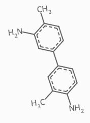 Cc1cc(-c2ccc(C)c(N)c2)ccc1N